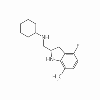 Cc1ccc(F)c2c1NC(CNC1CCCCC1)C2